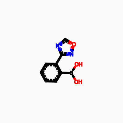 OB(O)c1ccccc1-c1ncon1